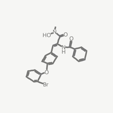 CN(O)C(=O)C(=Cc1ccc(Oc2ccccc2Br)cc1)NC(=O)c1ccccc1